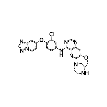 Clc1cc(Nc2ncnc3cc4c(nc23)N2CCNC(CO4)C2)ccc1Oc1ccn2ncnc2c1